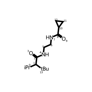 CC(C)C(C(=O)NCCNC(=O)C1CC1)C(C)(C)C